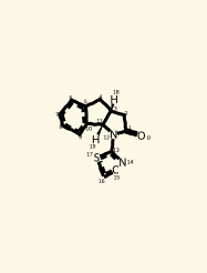 O=C1C[C@H]2Cc3ccccc3[C@H]2N1c1nccs1